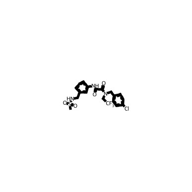 CS(=O)(=O)NCc1cccc(NC(=O)C(=O)N(Cc2ccc(Cl)cc2)CC(F)(F)F)c1